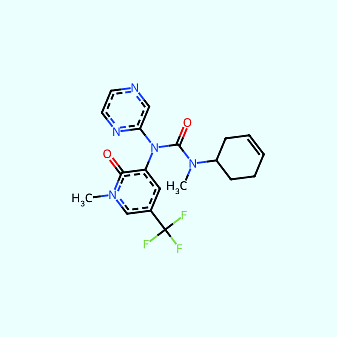 CN(C(=O)N(c1cnccn1)c1cc(C(F)(F)F)cn(C)c1=O)C1CC=CCC1